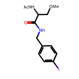 COCC(NC(C)=O)C(=O)NCc1ccc(I)cc1